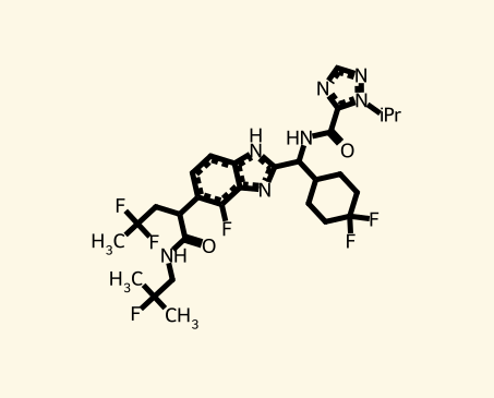 CC(C)n1ncnc1C(=O)NC(c1nc2c(F)c(C(CC(C)(F)F)C(=O)NCC(C)(C)F)ccc2[nH]1)C1CCC(F)(F)CC1